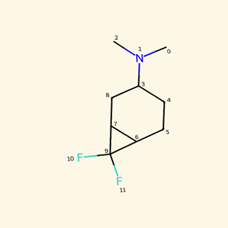 CN(C)C1CCC2C(C1)C2(F)F